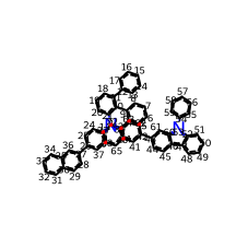 c1ccc(-c2ccccc2-c2c(-c3ccccc3)cccc2N(c2ccc(-c3ccc4ccccc4c3)cc2)c2ccc(-c3ccc4c5ccccc5n(-c5ccccc5)c4c3)cc2)cc1